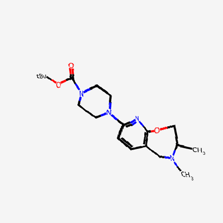 CC1COc2nc(N3CCN(C(=O)OC(C)(C)C)CC3)ccc2CN1C